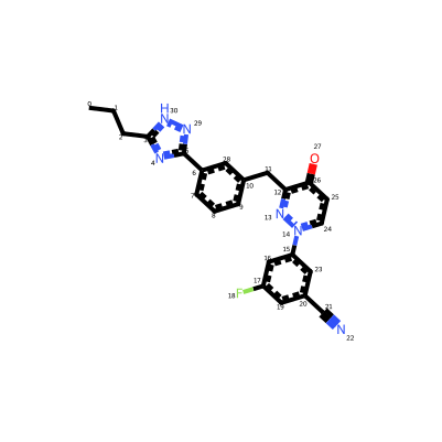 CCCc1nc(-c2cccc(Cc3nn(-c4cc(F)cc(C#N)c4)ccc3=O)c2)n[nH]1